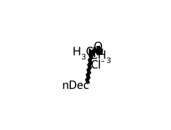 CCCCCCCCCCCCCCCCCCCCCC[N+](C)(C)CN1CCCC1=O.[Cl-]